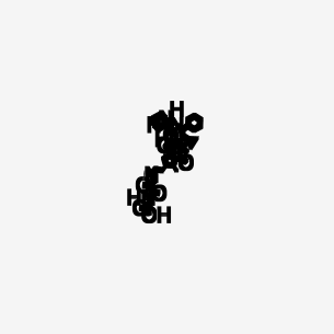 C[C@@H]1C(C=O)N(C(=O)C(NC(=C2CC2)C(NC(=O)c2cnccn2)C2CCCCC2)C(C)(C)C)C[C@@H]1CCN(C)CC(=O)C(=O)NCC(=O)O